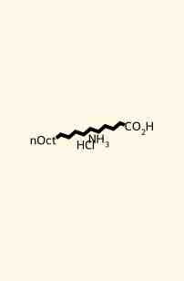 CCCCCCCCCCCCCCCCCC(=O)O.Cl.N